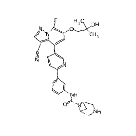 CC(C)(O)COc1cc(-c2ccc(-c3cccc(NC(=O)N4C5CNCC4C5)c3)nc2)c2c(C#N)cnn2c1F